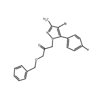 Cc1nn(CC(=O)COCc2ccccc2)c(-c2ccc(F)cc2)c1Br